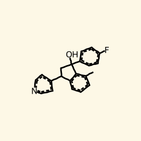 Cc1cccc2c1C(O)(c1ccc(F)cc1)CC2c1ccncc1